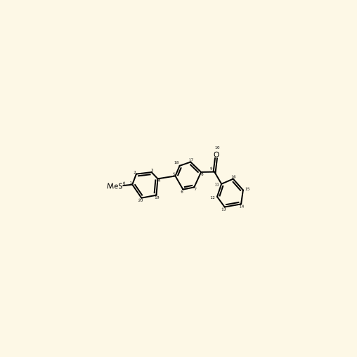 CSc1ccc(-c2ccc(C(=O)c3ccccc3)cc2)cc1